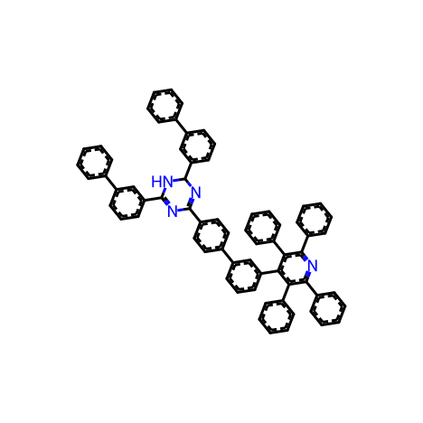 c1ccc(-c2cccc(C3=NC(c4ccc(-c5cccc(-c6c(-c7ccccc7)c(-c7ccccc7)nc(-c7ccccc7)c6-c6ccccc6)c5)cc4)=NC(c4cccc(-c5ccccc5)c4)N3)c2)cc1